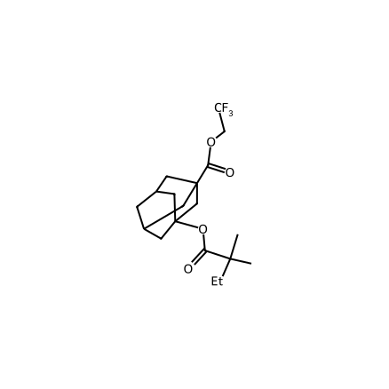 CCC(C)(C)C(=O)OC12CC3CC(C1)CC(C(=O)OCC(F)(F)F)(C3)C2